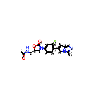 CC(=O)NC[C@H]1CN(c2ccc(C3=Cc4cnc(C)n4C3)c(F)c2)C(=O)O1